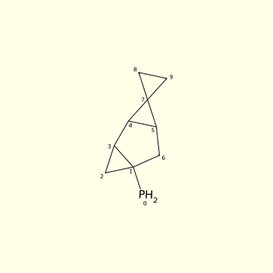 PC12CC1C1C(C2)C12CC2